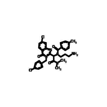 Cc1ccc(C(=O)N(CCCN)C(C(=O)N(C)C)c2nc3cc(Cl)ccc3c(=O)n2Cc2ccc(Cl)cc2)cc1